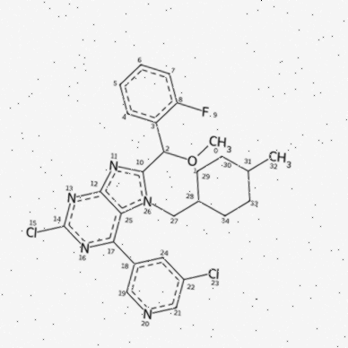 COC(c1ccccc1F)c1nc2nc(Cl)nc(-c3cncc(Cl)c3)c2n1CC1CCC(C)CC1